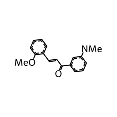 CNc1cccc(C(=O)C=Cc2ccccc2OC)c1